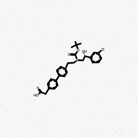 CC(C)(C)OC(=O)N(CCc1ccc(-c2ccc(CC(=O)O)cc2)cc1)C[C@H](O)c1cccc(Cl)c1